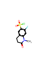 CN1C(=O)CCc2cc(S(=O)(=O)Cl)c(F)cc21